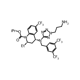 CC[C@@H]1C[C@H](N(Cc2cc(C(F)(F)F)cc(C(F)(F)F)c2)c2nnn(CCCN)n2)c2cc(C(F)(F)F)ccc2N1C(=O)OC(C)C